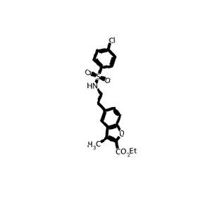 CCOC(=O)c1oc2ccc(CCNS(=O)(=O)c3ccc(Cl)cc3)cc2c1C